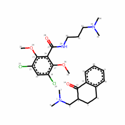 CN(C)CC1CCc2ccccc2C1=O.COc1c(Cl)cc(Cl)c(OC)c1C(=O)NCCCN(C)C